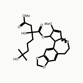 COC(=O)CC(O)(CCCC(C)(C)O)C(=O)OC1C(OC)=C[C@]23CCCN2CCc2cc4c(cc2C13)OCO4